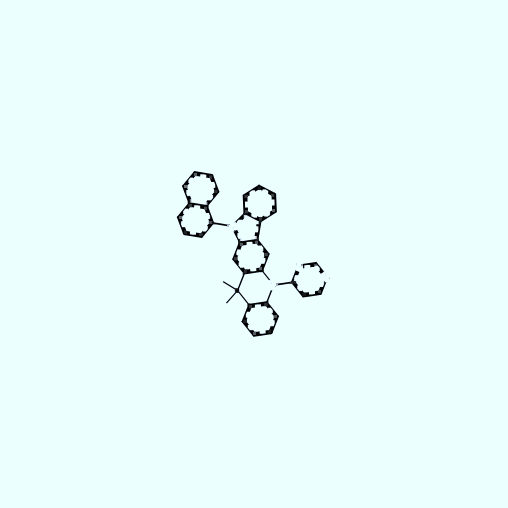 CC1(C)c2ccccc2N(c2ccncn2)c2cc3c4ccccc4n(-c4cccc5ccccc45)c3cc21